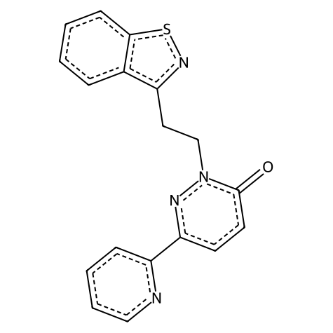 O=c1ccc(-c2ccccn2)nn1CCc1nsc2ccccc12